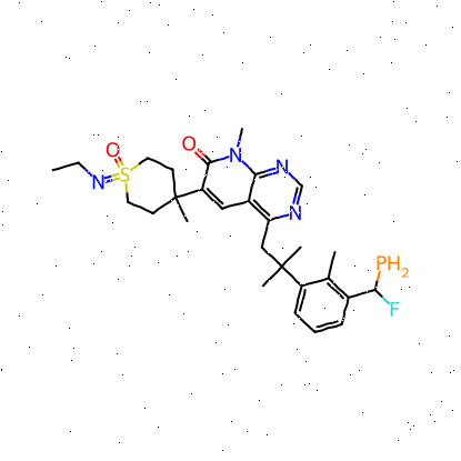 CCN=S1(=O)CCC(C)(c2cc3c(CC(C)(C)c4cccc(C(F)P)c4C)ncnc3n(C)c2=O)CC1